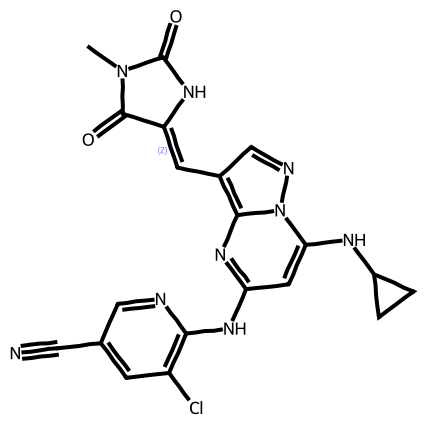 CN1C(=O)N/C(=C\c2cnn3c(NC4CC4)cc(Nc4ncc(C#N)cc4Cl)nc23)C1=O